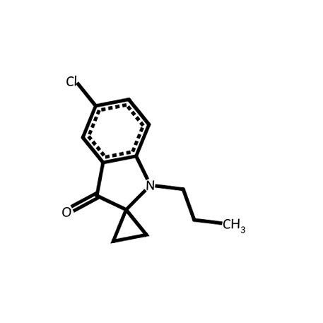 CCCN1c2ccc(Cl)cc2C(=O)C12CC2